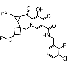 CCCC1C2C(=O)c3c(O)c(=O)c(C(=O)NCc4cccc(Cl)c4F)cn3C[C@]3(C[C@H](OCC)C3)C12